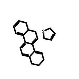 C1=CCC2CC=c3c(ccc4c3=CCCC4)C2=C1.C1=CCSC1